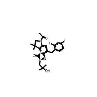 CC(=O)N1CC(C)(C)c2c1cc(Cc1ccc(F)cc1F)c1nn(CC(C)(C)O)c(=O)n21